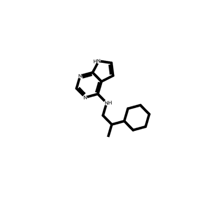 CC(CNc1ncnc2[nH]ccc12)C1CCCCC1